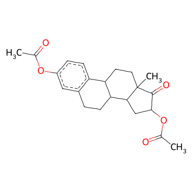 CC(=O)Oc1ccc2c(c1)CCC1C2CCC2(C)C(=O)C(OC(C)=O)CC12